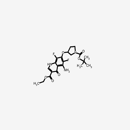 CCOC(=O)c1c[nH]c2c(F)c(OC3CCN(C(=O)OC(C)(C)C)C3)c(F)c(N)c2c1=O